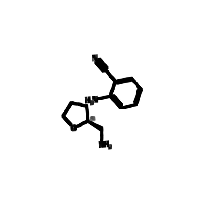 N#Cc1ccccc1N.NC[C@@H]1CCCO1